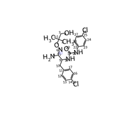 CC(C)(CO)O/N=C(\N)C(Cc1ccc(Cl)cc1)NC(=O)Nc1ccc(Cl)cc1